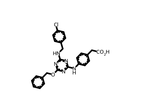 O=C(O)Cc1ccc(Nc2nc(NCc3ccc(Cl)cc3)nc(OCc3ccccc3)n2)cc1